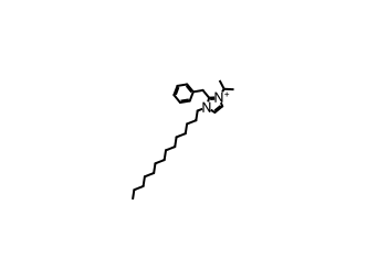 CCCCCCCCCCCCCCn1cc[n+](C(C)C)c1Cc1ccccc1